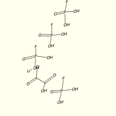 O=C([O-])C(=O)O.O=P(O)(O)F.O=P(O)(O)F.O=P(O)(O)F.O=P(O)(O)F.[Li+]